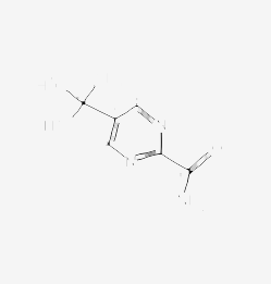 CC(C)(C)c1cnc(C(N)=O)nc1